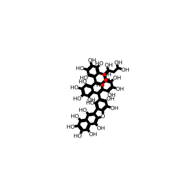 C=C(O)/C(=C(/O)CC(O)O)c1c(O)c(O)c(O)c(O)c1-c1c2c(O)c(O)c(O)c(O)c2c(-c2c(O)c(O)c3oc4c(O)c5c(O)c(O)c(O)c(O)c5c(O)c4c3c2O)c2c(O)c(O)c(O)c(O)c12